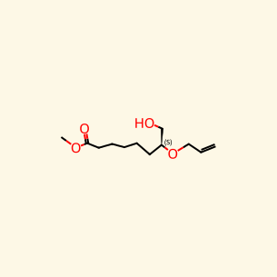 C=CCO[C@H](CO)CCCCCC(=O)OC